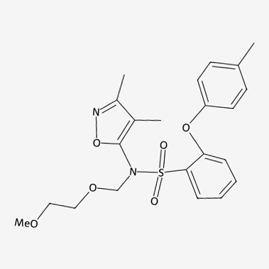 COCCOCN(c1onc(C)c1C)S(=O)(=O)c1ccccc1Oc1ccc(C)cc1